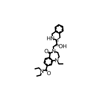 CCN(CC)C(=O)c1ccc2c(c1)N(CC)CCN(C[C@@H](O)[C@@H]1Cc3ccccc3CN1)C2=O